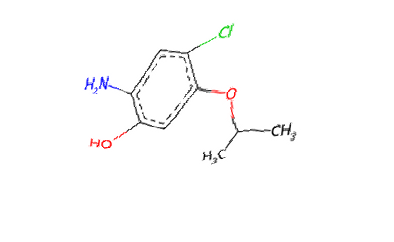 CC(C)Oc1cc(O)c(N)cc1Cl